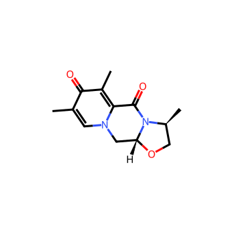 Cc1cn2c(c(C)c1=O)C(=O)N1[C@@H](C)CO[C@@H]1C2